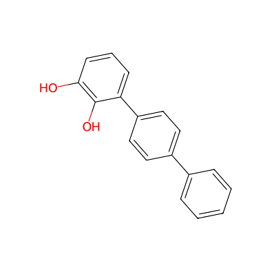 Oc1cccc(-c2ccc(-c3ccccc3)cc2)c1O